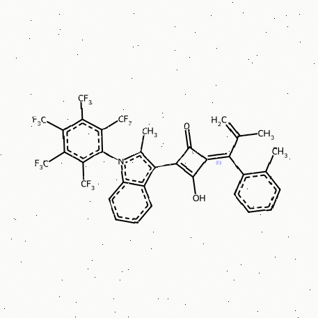 C=C(C)/C(=C1\C(=O)C(c2c(C)n(-c3c(C(F)(F)F)c(C(F)(F)F)c(C(F)(F)F)c(C(F)(F)F)c3C(F)(F)F)c3ccccc23)=C1O)c1ccccc1C